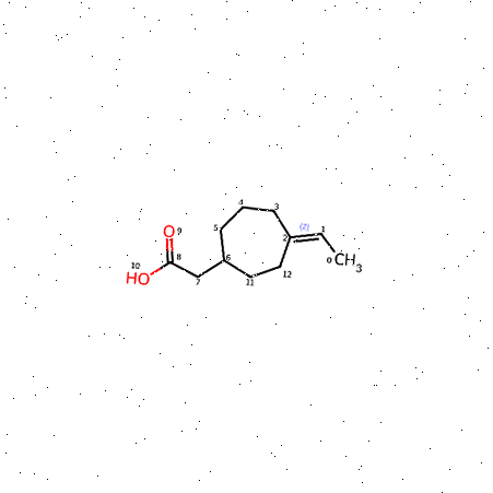 C/C=C1/CCCC(CC(=O)O)CC1